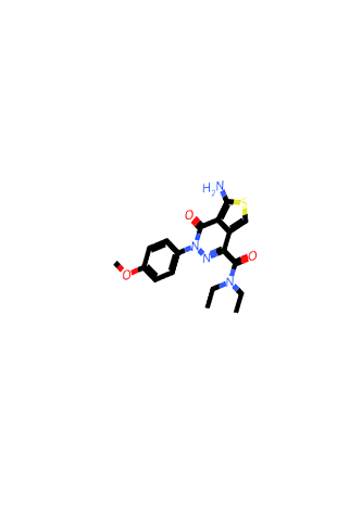 CCN(CC)C(=O)c1nn(-c2ccc(OC)cc2)c(=O)c2c(N)scc12